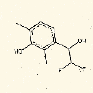 Cc1ccc(C(O)C(F)F)c(C)c1O